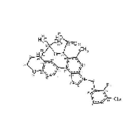 Cc1nc2c(ccn2Cc2cccc(Cl)c2F)c(-c2ccc3c(c2)CCCO3)c1C(OC(C)(C)C)C(=O)O